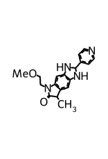 COCCN1C(=O)C(C)c2cc3c(cc21)NC(c1ccncc1)N3